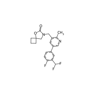 Cc1ncc(-c2ccc(F)c(C(F)F)c2)cc1CN1CC2(CCC2)OC1=O